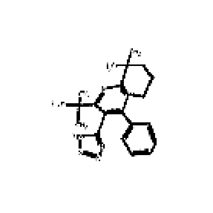 CC(C)(C)c1nc2c(c(-c3ccccc3)c1-c1nnn[nH]1)CCCC2(C)C